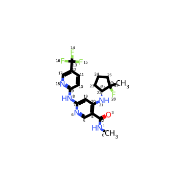 CNC(=O)c1cnc(Nc2ccc(C(F)(F)F)cn2)cc1N[C@@H]1CCCC1(C)F